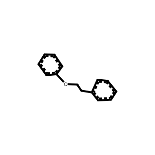 [CH](Cc1ccccc1)Oc1ccccc1